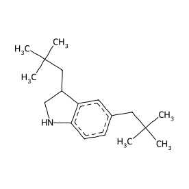 CC(C)(C)Cc1ccc2c(c1)C(CC(C)(C)C)CN2